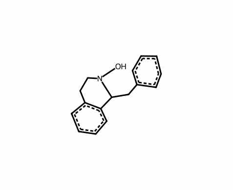 ON1CCc2ccccc2C1Cc1ccccc1